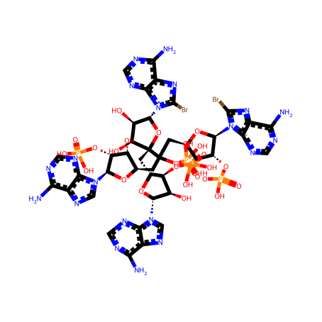 Nc1ncnc2c1ncn2[C@@H]1O[C@H](C[C@]2(C(C[C@H]3O[C@@H](n4cnc5c(N)ncnc54)[C@H](OP(=O)(O)O)[C@@H]3O)(C[C@H]3O[C@@H](n4c(Br)nc5c(N)ncnc54)[C@H](OP(=O)(O)O)[C@@H]3O)OP(=O)(O)O)O[C@@H](n3c(Br)nc4c(N)ncnc43)[C@H](O)[C@@H]2O)[C@@H](OP(=O)(O)O)[C@H]1O